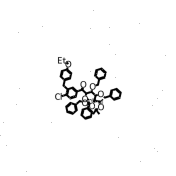 CCOc1ccc(Cc2cc(C(=O)C(OCc3ccccc3)C(OCc3ccccc3)C(OCc3ccccc3)[C@]3(COCc4ccccc4)OC(C)(C)O[C@@H]3C)ccc2Cl)cc1